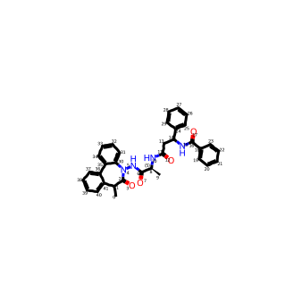 CC1C(=O)N(NC(=O)[C@H](C)NC(=O)CC(NC(=O)c2ccccc2)c2ccccc2)c2ccccc2-c2ccccc21